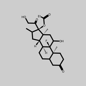 CCC(=O)O[C@]1(C(=O)CO)C(C)C[C@H]2[C@@H]3CCC4CC(=O)CC[C@]4(C)[C@@]3(F)C(O)C[C@@]21C